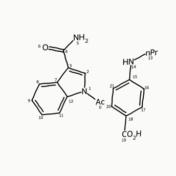 CC(=O)n1cc(C(N)=O)c2ccccc21.CCCNc1ccc(C(=O)O)cc1